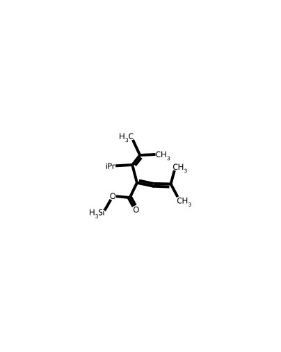 CC(C)=C=C(C(=O)O[SiH3])C(=C(C)C)C(C)C